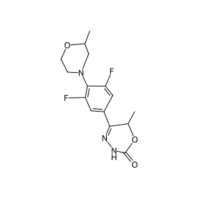 CC1CN(c2c(F)cc(C3=NNC(=O)OC3C)cc2F)CCO1